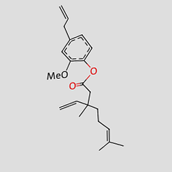 C=CCc1ccc(OC(=O)CC(C)(C=C)CCC=C(C)C)c(OC)c1